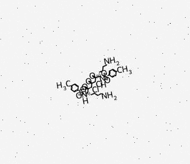 Cc1ccc(S(=O)(=O)N[C@@H](CCCCN)C(=O)C(Cl)C(=O)C(Cl)C(=O)[C@H](CCCCN)NS(=O)(=O)c2ccc(C)cc2)cc1